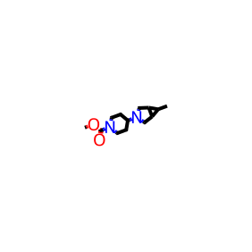 COC(=O)N1CCC(N2CC3C(C)C3C2)CC1